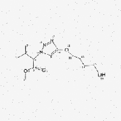 COC(=O)C(C(C)C)n1cc(OCCCCO)nn1